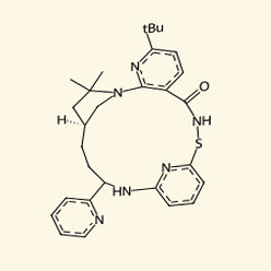 CC(C)(C)c1ccc2c(n1)N1C[C@@H](CCC(c3ccccn3)Nc3cccc(n3)SNC2=O)CC1(C)C